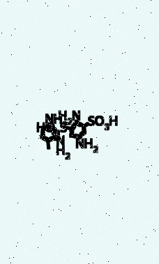 Cc1ccc(N)cc1N.Nc1cc(S(=O)(=O)O)c(N)c(S(=O)(=O)O)c1